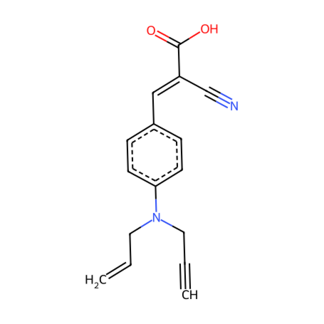 C#CCN(CC=C)c1ccc(/C=C(\C#N)C(=O)O)cc1